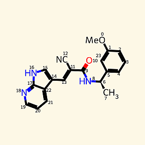 COc1cccc([C@@H](C)NC(=O)/C(C#N)=C/c2c[nH]c3ncccc23)c1